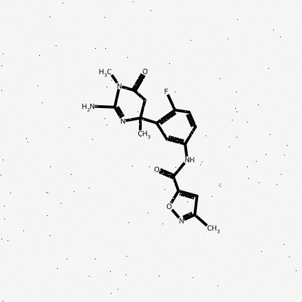 Cc1cc(C(=O)Nc2ccc(F)c(C3(C)CC(=O)N(C)C(N)=N3)c2)on1